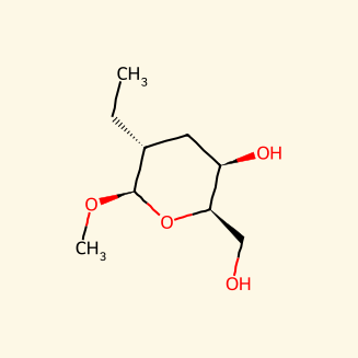 CC[C@@H]1C[C@@H](O)[C@@H](CO)O[C@H]1OC